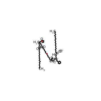 CCCCCCCCCCCCCCCCCC(=O)NCCC[N+](C)(CCCNC(=O)CCCCCCCCCCCCC)CN1CCCC1=O.CCCCCCCCCCCCCCCCCCCC(=O)NCCC[N+](C)(C=Cc1ccccc1)CN1CCCC1=O.[Cl-].[Cl-]